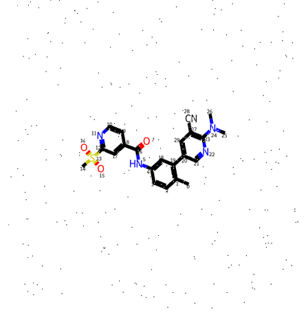 Cc1ccc(NC(=O)c2ccnc(S(C)(=O)=O)c2)cc1-c1cnc(N(C)C)c(C#N)c1